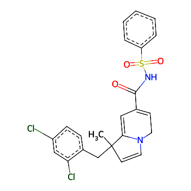 CC1(Cc2ccc(Cl)cc2Cl)C=CN2CC=C(C(=O)NS(=O)(=O)c3ccccc3)C=C21